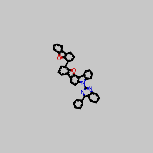 c1ccc(-c2nc(-n3c4ccccc4c4c5oc6c(-c7cccc8c7oc7ccccc78)cccc6c5ccc43)nc3ccccc23)cc1